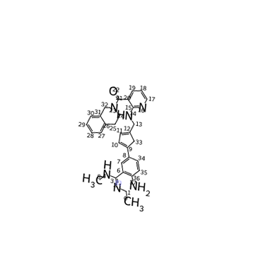 CC/N=C(/NC)c1cc(C2=CC=C(CNc3ncccc3C(=O)N3CCc4ccccc4C3)C2)ccc1N